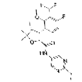 CCc1ncc(NC(=O)[C@H]2OC(C)(C)[C@H](C)[C@@H]2c2ccc(F)c(C(F)F)c2OC)cn1